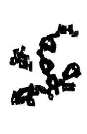 CCN(c1cc(-c2ccc(CN3CCN(CCN)CC3)cc2)cc(C(=O)NCc2c(C)cc(C)[nH]c2=O)c1C)C1CCOCC1.O=C(O)C(F)(F)F